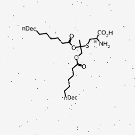 CCCCCCCCCCCCCCCC(=O)OCC(C)(OC(=O)CCCCCCCCCCCCCCC)SC[C@H](N)C(=O)O